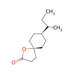 CCC(C)[C@H]1CC[C@]2(CCC(=O)O2)CC1